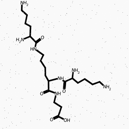 NCCCCC(N)C(=O)NCCCCC(NC(=O)C(N)CCCCN)C(=O)NCCC(=O)O